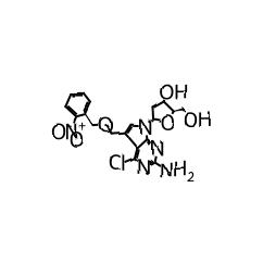 Nc1nc(Cl)c2c(COCc3ccccc3[N+](=O)[O-])cn([C@H]3CC(O)[C@@H](CO)O3)c2n1